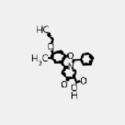 C#CCOc1cc2c(cc1C)-c1cc(=O)c(C(=O)O)cn1C(c1ccccc1)O2